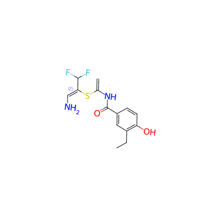 C=C(NC(=O)c1ccc(O)c(CC)c1)S/C(=C\N)C(F)F